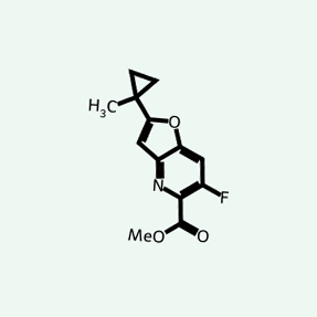 COC(=O)c1nc2cc(C3(C)CC3)oc2cc1F